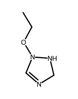 CCON1C=NCN1